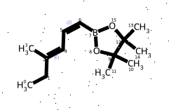 CC/C(C)=C/C=C\B1OC(C)(C)C(C)(C)O1